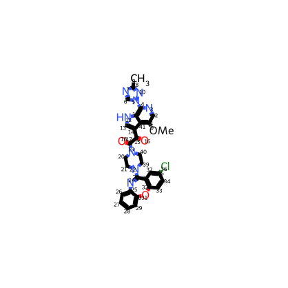 COc1cnc(-n2cnc(C)n2)c2[nH]cc(C(=O)C(=O)N3CCN(C4=Nc5ccccc5Oc5ccc(Cl)cc54)CC3)c12